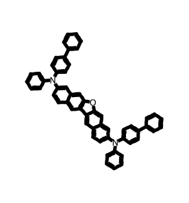 c1ccc(-c2ccc(N(c3ccccc3)c3ccc4cc5c(cc4c3)oc3cc4cc(N(c6ccccc6)c6ccc(-c7ccccc7)cc6)ccc4cc35)cc2)cc1